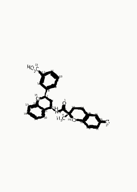 C[C@@]1(C(=O)N[C@@H]2C[C@H](c3cccc(C(=O)O)c3)Oc3ccccc32)CCc2cc(Cl)ccc2O1